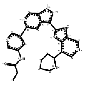 CCC(=O)Nc1cncc(-c2cc3c(-c4nc5c(C6CCCCN6)cncc5[nH]4)n[nH]c3cn2)c1